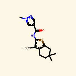 Cn1cc(C(=O)Nc2sc3c(c2C(=O)O)CCC(C)(C)C3)cn1